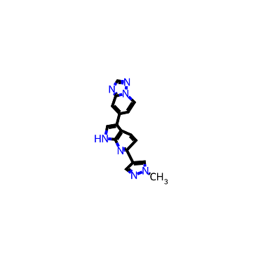 Cn1cc(-c2ccc3c(-c4ccn5ncnc5c4)c[nH]c3n2)cn1